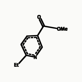 CCc1ccc(C(=O)OC)cn1